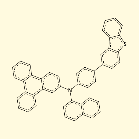 c1ccc2c(N(c3ccc(-c4ccc5sc6ccccc6c5c4)cc3)c3ccc4c5ccccc5c5ccccc5c4c3)cccc2c1